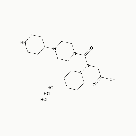 Cl.Cl.Cl.O=C(O)CN(C(=O)N1CCN(C2CCNCC2)CC1)N1CCCCC1